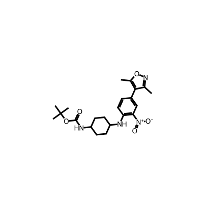 Cc1noc(C)c1-c1ccc(NC2CCC(NC(=O)OC(C)(C)C)CC2)c([N+](=O)[O-])c1